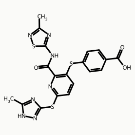 Cc1nsc(NC(=O)c2nc(Sc3n[nH]c(C)n3)ccc2Sc2ccc(C(=O)O)cc2)n1